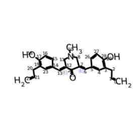 C=CCc1cc(/C=C2\CN(C)C/C(=C\c3ccc(O)c(CC=C)c3)C2=O)ccc1O